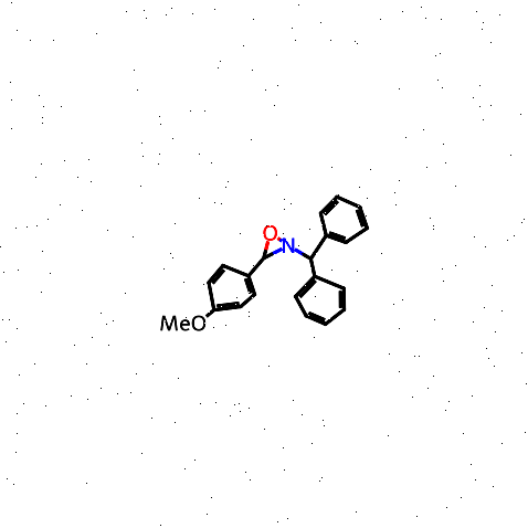 COc1ccc(C2ON2C(c2ccccc2)c2ccccc2)cc1